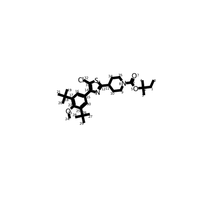 CCC(C)(C)OC(=O)N1CCC(c2nc(-c3cc(C(C)(C)C)c(OC)c(C(C)(C)C)c3)c(Cl)s2)CC1